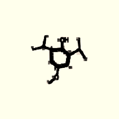 COc1cc(C(C)C)c(O)c(C(C)C)c1